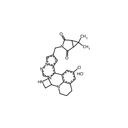 CC1(C)C2C(=O)N(Cc3cc4c(-c5cc(Cl)cc6c5N(C5CNC5)CCC6)ncnn4c3)C(=O)C21.Cl